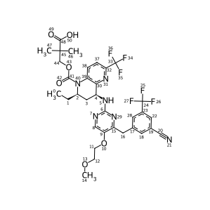 CC[C@@H]1C[C@H](Nc2ncc(OCCOC)c(Cc3cc(C#N)cc(C(F)(F)F)c3)n2)c2nc(C(F)(F)F)ccc2N1C(=O)OCC(C)(C)C(=O)O